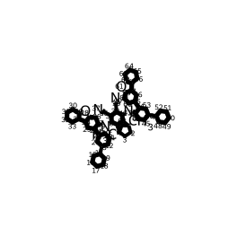 CC12CCC(C)(C1)c1c(-n3c4ccc(-c5ccccc5)cc4c4cc5c(cc43)oc3ccccc35)c(C#N)c(C#N)c(-n3c4ccc(-c5ccccc5)cc4c4cc5c(cc43)oc3ccccc35)c12